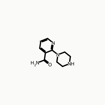 NC(=O)c1c[c]cnc1N1CCNCC1